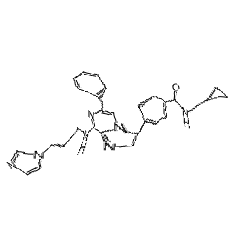 O=C(NC1CC1)c1ccc(-c2cnc3c(NCCCn4ccnc4)nc(-c4ccccc4)cn23)cc1